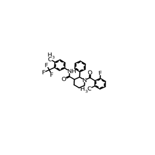 Cc1ccc(NC(=O)C2CCCN(C(=O)c3c(C)cccc3F)C2c2ccccc2)cc1C(F)(F)F